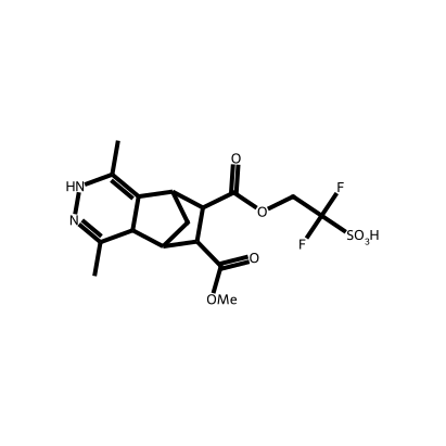 COC(=O)C1C2CC(C3=C(C)NN=C(C)C32)C1C(=O)OCC(F)(F)S(=O)(=O)O